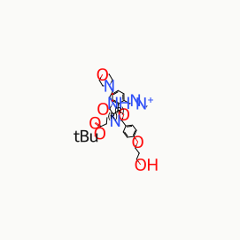 C=[N+]=NCc1ccccc1[C@H]1OC(c2ccc(OCCCO)cc2)=N[C@@]1(CCC(=O)OC(C)(C)C)C(=O)NCCN1CCOCC1